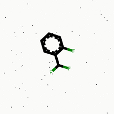 F[C](F)c1ccccc1F